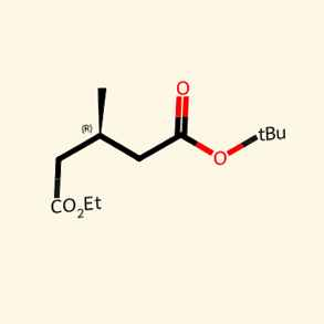 CCOC(=O)C[C@@H](C)CC(=O)OC(C)(C)C